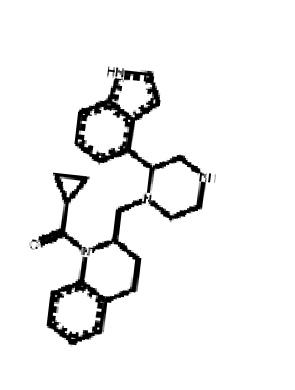 O=C(C1CC1)N1c2ccccc2CCC1CN1CCNCC1c1cccc2[nH]ccc12